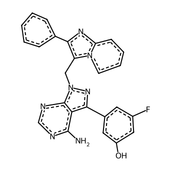 Nc1ncnc2c1c(-c1cc(O)cc(F)c1)nn2Cc1c(-c2ccccc2)nc2ccccn12